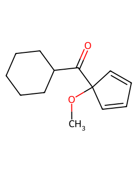 COC1(C(=O)C2CCCCC2)C=CC=C1